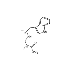 COC(=O)[C@H](C)CN[C@H](C)Cc1c[nH]c2ccccc12